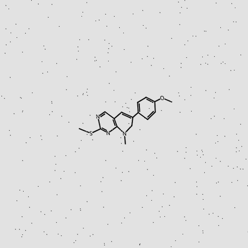 COc1ccc(C2=Cc3cnc(SC)nc3N(C)C2)cc1